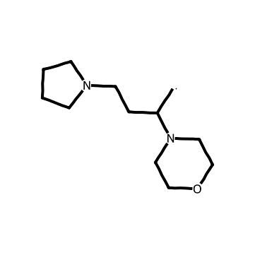 [CH2]C(CCN1CCCC1)N1CCOCC1